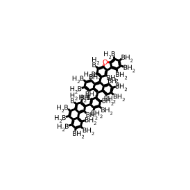 Bc1c(B)c(-c2c(B)c(B)c3c(B)c(B)c4c(B)c(B)c(B)c(B)c4c3c2B)c(B)c(-c2c3c(B)c(B)c(B)c(B)c3c(-c3c(B)c(B)c4oc5c(B)c(B)c(B)c(B)c5c4c3B)c3c(B)c(B)c(B)c(B)c23)c1B